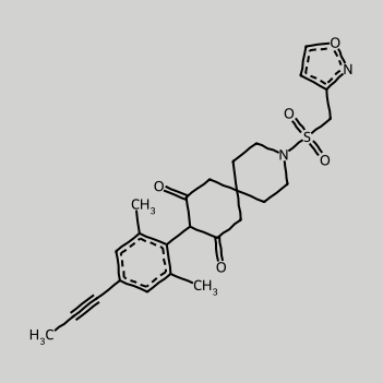 CC#Cc1cc(C)c(C2C(=O)CC3(CCN(S(=O)(=O)Cc4ccon4)CC3)CC2=O)c(C)c1